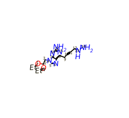 CCOC(Cn1cnc2c(CC#CCNN)nc(N)nc21)OCC